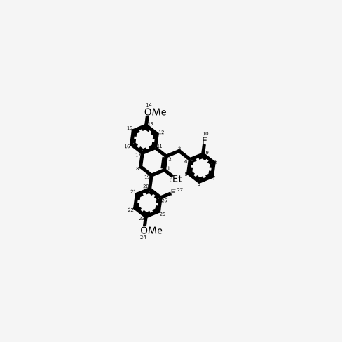 CCC1=C(Cc2ccccc2F)c2cc(OC)ccc2CC1c1ccc(OC)cc1F